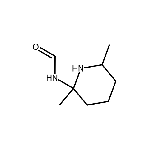 CC1CCCC(C)(NC=O)N1